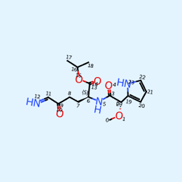 CO[C@H](C(=O)N[C@@H](CCC(=O)C=N)C(=O)OC(C)C)c1ccc[nH]1